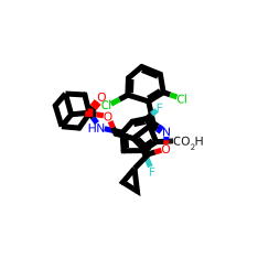 O=C(O)c1c(F)cc(NC(=O)C2C3CC(OCc4c(-c5c(Cl)cccc5Cl)noc4C4CC4)CC2C3)cc1F